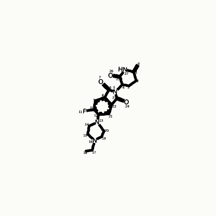 C=C1CCC(N2C(=O)c3cc(F)c(N4CCN(CC)CC4)cc3C2=O)C(=O)N1